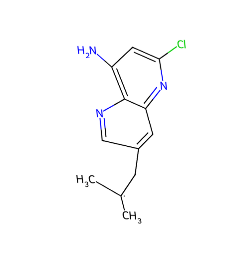 C[C](C)Cc1cnc2c(N)cc(Cl)nc2c1